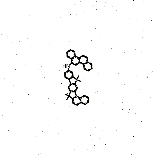 CC1(C)c2cc(Nc3cc4c5ccccc5ccc4c4ccccc34)ccc2-c2cc3c(cc21)-c1c(ccc2ccccc12)C3(C)C